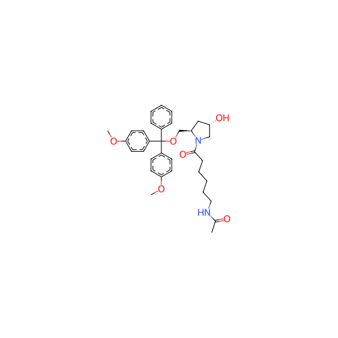 COc1ccc(C(OC[C@H]2C[C@H](O)CN2C(=O)CCCCCNC(C)=O)(c2ccccc2)c2ccc(OC)cc2)cc1